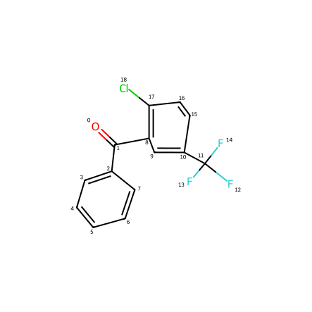 O=C(c1ccccc1)c1cc(C(F)(F)F)ccc1Cl